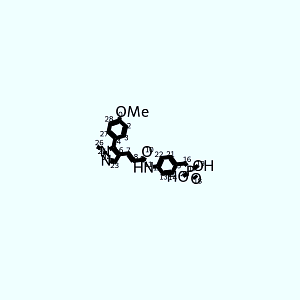 COc1ccc(-c2c(C=CC(=O)Nc3ccc(CP(=O)(O)O)cc3)cnn2C)cc1